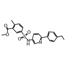 CCc1ccc(-c2ccc(NS(=O)(=O)c3ccc(C)c(C(=O)OC)c3)cn2)cc1